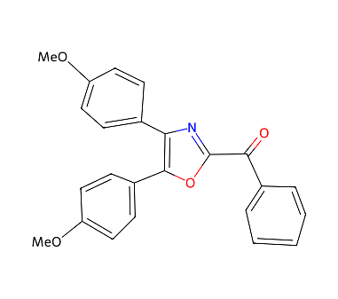 COc1ccc(-c2nc(C(=O)c3ccccc3)oc2-c2ccc(OC)cc2)cc1